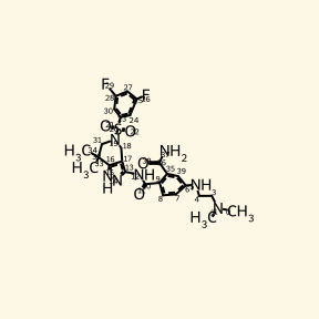 CN(C)CCNc1ccc(C(=O)Nc2n[nH]c3c2CN(S(=O)(=O)c2cc(F)cc(F)c2)CC3(C)C)c(C(N)=O)c1